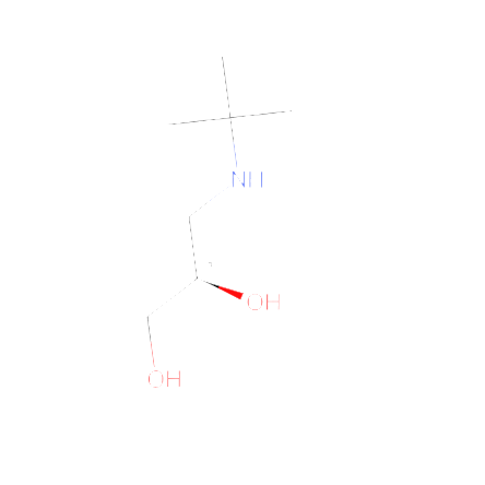 CC(C)(C)NC[C@@H](O)CO